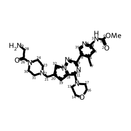 COC(=O)Nc1cc(C)c(-c2nc(N3CCOCC3)c3cc(CN4CCN(C(=O)CN)CC4)cn3n2)cn1